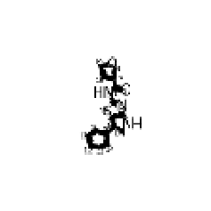 O=C(Nc1nc2[nH]nc(-c3ccccc3)c2s1)c1ccoc1